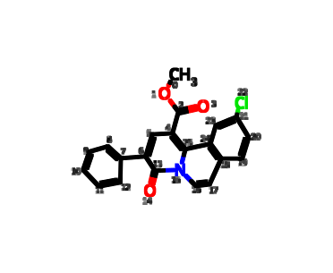 COC(=O)c1cc(-c2ccccc2)c(=O)n2ccc3ccc(Cl)cc3c12